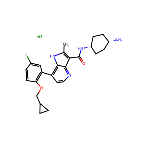 Cc1[nH]c2c(-c3cc(F)ccc3OCC3CC3)ccnc2c1C(=O)N[C@H]1CC[C@@H](N)CC1.Cl